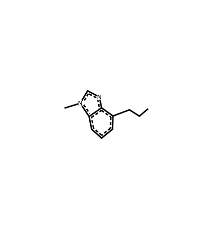 CCCc1cccc2c1ncn2C